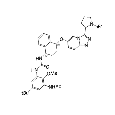 COc1c(NC(C)=O)cc(C(C)(C)C)cc1NC(=O)N[C@H]1CC[C@@H](Oc2ccc3nnc(C4CCCN4C(C)C)n3c2)c2ccccc21